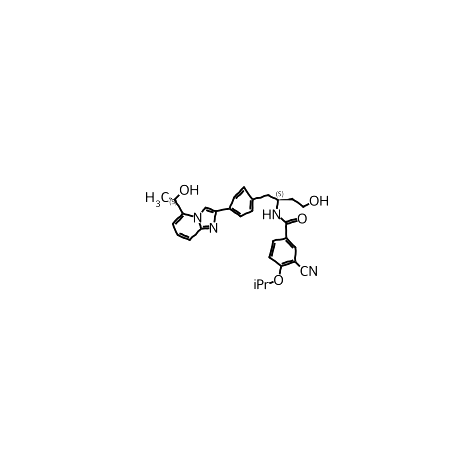 CC(C)Oc1ccc(C(=O)N[C@H](CCO)Cc2ccc(-c3cn4c([C@H](C)O)cccc4n3)cc2)cc1C#N